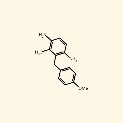 COc1ccc(Cc2c(N)ccc(N)c2C)cc1